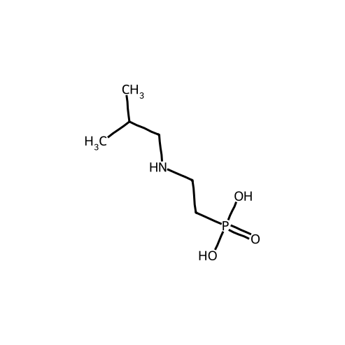 CC(C)CNCCP(=O)(O)O